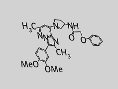 COc1ccc(-c2c(C)nc3c(N4CCC(NC(=O)COc5ccccc5)C4)cc(C)nn23)cc1OC